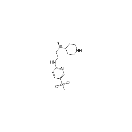 C[C@H](CCNc1ccc(S(C)(=O)=O)cn1)C1CCNCC1